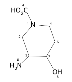 NC1CN(C(=O)O)CCC1O